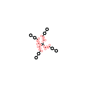 O=C(OCC(COC(=O)OOC(=O)c1ccc(-c2ccccc2)cc1)(COC(=O)OOC(=O)c1ccc(-c2ccccc2)cc1)COC(=O)OOC(=O)c1ccc(-c2ccccc2)cc1)OOC(=O)c1ccc(-c2ccccc2)cc1